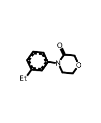 CCc1cccc(N2CCOCC2=O)c1